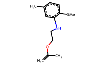 C=C(C)OCCNc1cc(C)ccc1SC